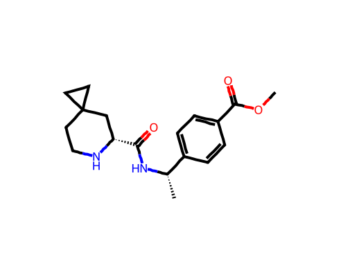 COC(=O)c1ccc([C@H](C)NC(=O)[C@H]2CC3(CCN2)CC3)cc1